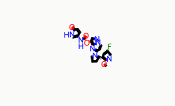 COc1ncc(F)cc1[C@H]1CCCN1c1ccn2ncc(OC(=O)Nc3ccc(=O)[nH]c3)c2n1